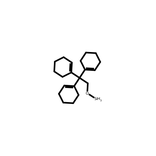 [SiH3]OCC(C1=CCCCC1)(C1=CCCCC1)C1=CCCCC1